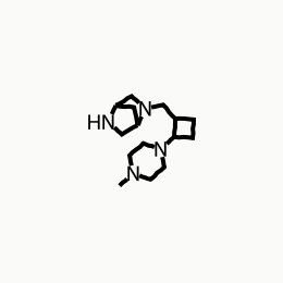 CN1CCN(C2CCC2CN2CC3CC2CN3)CC1